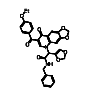 CCOc1ccc(C(=O)c2cn(C(C(=O)NCc3ccccc3)C3=COCO3)c3cc4c(cc3c2=O)OCO4)cc1